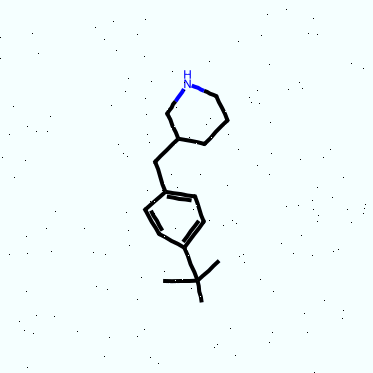 CC(C)(C)c1ccc(CC2CCCNC2)cc1